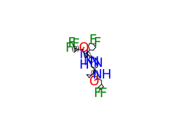 O=C(CC1CC(F)(F)C1)N[C@@H](c1cnn2cc([C@@H](NC(=O)C3C[C@H]3C(F)(F)F)C3CCC(F)(F)CC3)nc2c1)C1CC1